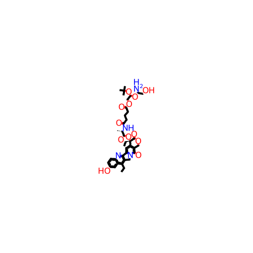 CCc1c2c(nc3ccc(O)cc13)-c1cc3c(c(=O)n1C2)COC(=O)[C@@]3(CC)OC(=O)[C@H](C)NC(=O)CCCC(=O)OCC(OC(N)CO)OC(C)(C)C